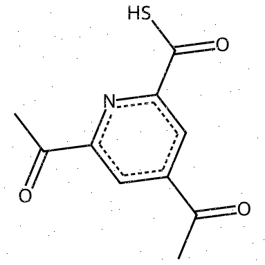 CC(=O)c1cc(C(C)=O)nc(C(=O)S)c1